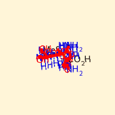 CSCC(=O)N[C@@H](CCCCNC(=O)CCCC(=O)NCCC(CCNC(C)(C)/C(C)=N\O)CCNC(C)(C)/C(C)=N\O)C(=O)N[C@H]1CSSC[C@@H](C(=O)N[C@@H](Cc2ccccc2)C(=O)NC(=O)NCC(N)=O)NC(=O)[C@H](CC(=O)O)NC(=O)CNC(=O)[C@H](CCCNC(=N)N)NC1=O